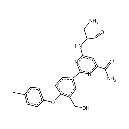 NCC(C=O)Nc1cc(C(N)=O)nc(-c2ccc(Oc3ccc(F)cc3)c(CO)c2)n1